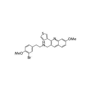 COc1ccc2cc(CNCCc3ccc(OC)c(Br)c3)c(-c3ccsc3)nc2c1